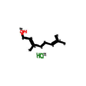 CC(C)=CCCC(C)=CCO.Cl